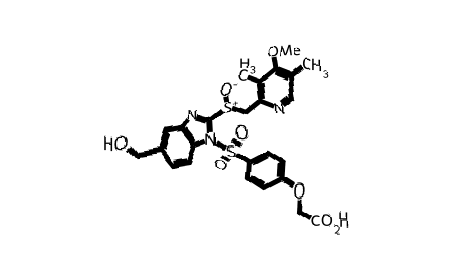 COc1c(C)cnc(C[S+]([O-])c2nc3cc(CO)ccc3n2S(=O)(=O)c2ccc(OCC(=O)O)cc2)c1C